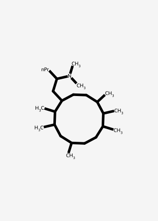 CCCC(CC1CCC(C)C(C)C(C)CCC(C)CC(C)C1C)N(C)C